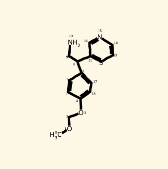 COCOc1ccc(C(CN)c2cccnc2)cc1